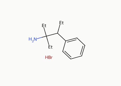 Br.CCC(c1ccccc1)C(N)(CC)CC